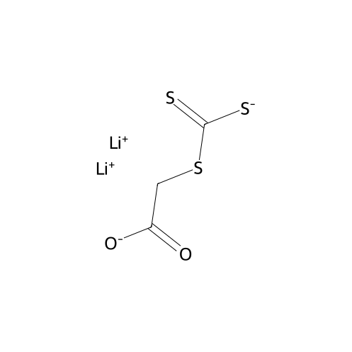 O=C([O-])CSC(=S)[S-].[Li+].[Li+]